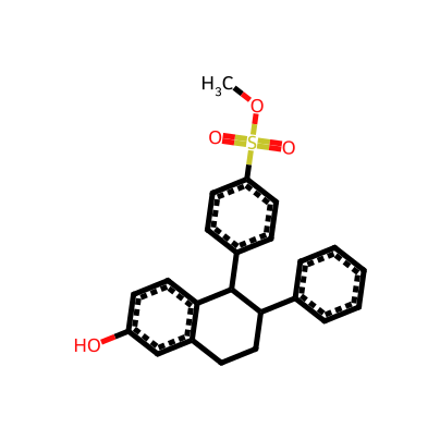 COS(=O)(=O)c1ccc(C2c3ccc(O)cc3CCC2c2ccccc2)cc1